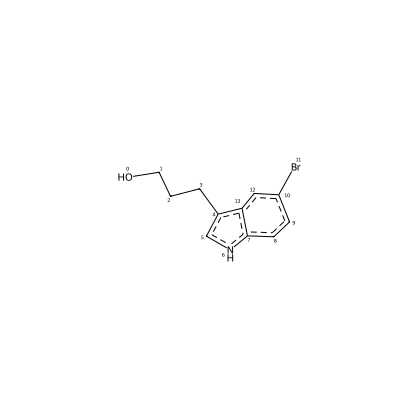 OCCCc1c[nH]c2ccc(Br)cc12